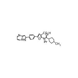 CC1CCC(C(=O)N(c2oc(-c3ccc(-c4cc5ncccn5n4)cc3)cc2C(=O)O)C(C)C)CC1